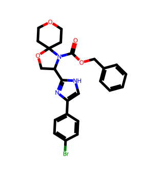 O=C(OCc1ccccc1)N1C(c2nc(-c3ccc(Br)cc3)c[nH]2)COC12CCOCC2